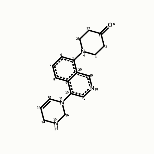 O=C1CCN(c2cccc3c(N4C=CCNC4)cncc23)CC1